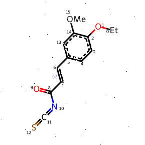 CCOc1ccc(/C=C/C(=O)N=C=S)cc1OC